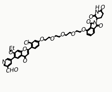 CCOc1cc2oc(-c3ccc(OCCOCCOCCOCCOc4cccc5c4C(=O)N(C4CCC(=O)NC4=O)C5=O)cc3Cl)cc(=O)c2cc1-c1cncc(C=O)c1